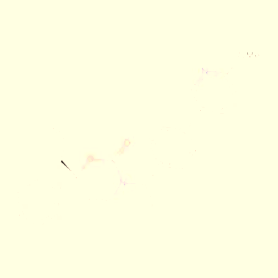 C=CC[C@]1(c2ccccc2)CCN([C@@H](C)c2ccc(-c3ccc(OC)nc3)cc2)C(=O)O1